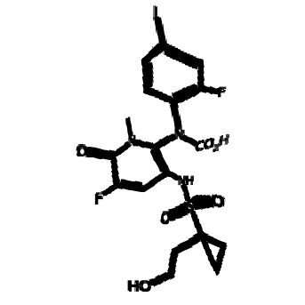 Cn1c(N(C(=O)O)c2ccc(I)cc2F)c(NS(=O)(=O)C2(CCO)CC2)cc(F)c1=O